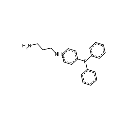 NCCCN.c1ccc(P(c2ccccc2)c2ccccc2)cc1